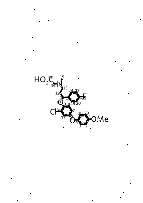 COc1ccc(Oc2ccc(OC(CCN(C)CC(=O)O)c3ccc(F)cc3)c(Cl)c2)cc1